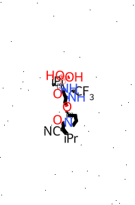 CC(C)C=C(C#N)C(=O)N1CCC[C@@H]1COCC(NCC(F)(F)F)C(=O)N[C@H](CC(C)C)B(O)O